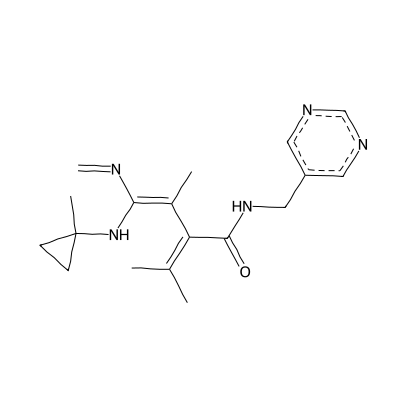 C=N/C(NC1(C)CC1)=C(\C)C(C(=O)NCc1cncnc1)=C(C)C